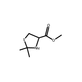 COC(=O)C1CSC(C)(C)N1